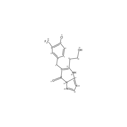 O=c1c(Cc2ccc(Cl)c(C(F)(F)F)c2)c(CCO)[nH]c2ncnn12